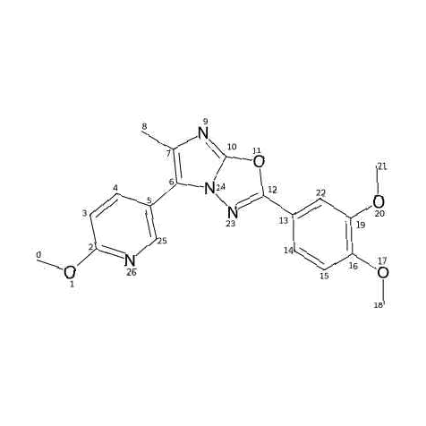 COc1ccc(-c2c(C)nc3oc(-c4ccc(OC)c(OC)c4)nn23)cn1